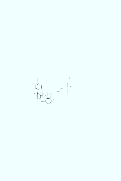 CC(C)C[C@H](NCCCCCCOc1cccc(C(=O)c2cnn(-c3ccc(F)cc3F)c2N)c1)C(=O)O